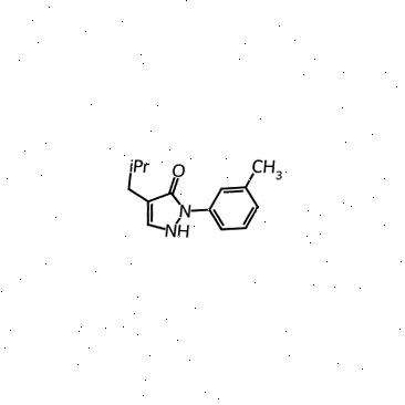 Cc1cccc(-n2[nH]cc(CC(C)C)c2=O)c1